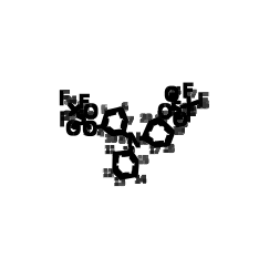 O=S(=O)(Oc1cccc(N(c2ccccc2)c2cccc(OS(=O)(=O)C(F)(F)F)c2)c1)C(F)(F)F